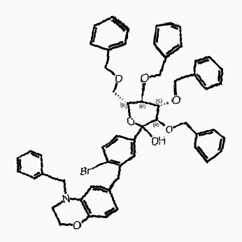 OC1(c2ccc(Br)c(Cc3ccc4c(c3)N(Cc3ccccc3)CCO4)c2)O[C@H](COCc2ccccc2)[C@@H](OCc2ccccc2)[C@H](OCc2ccccc2)[C@H]1OCc1ccccc1